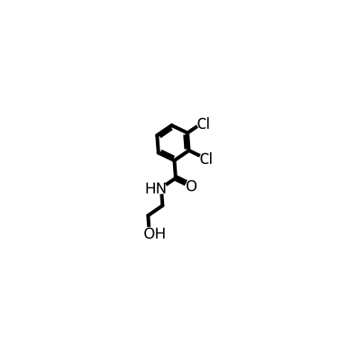 O=C(NCCO)c1cccc(Cl)c1Cl